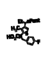 CCCCCC(CC)c1csc(N(Cc2ccc(F)cc2)C(=O)O)c1C